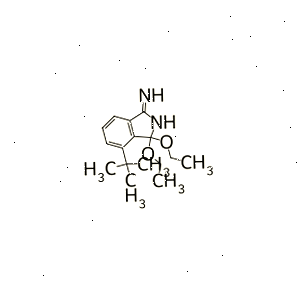 CCOC1(OCC)NC(=N)c2cccc(C(C)(C)C)c21